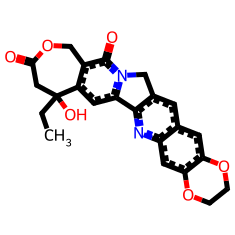 CCC1(O)CC(=O)OCc2c1cc1n(c2=O)Cc2cc3cc4c(cc3nc2-1)OCCO4